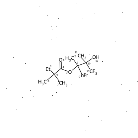 CCCC(C)(OC(=O)C(C)(C)CC)C(C)(O)C(F)(F)F